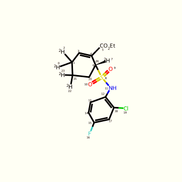 [2H]C1([2H])C=C(C(=O)OCC)[C@]([2H])(S(=O)(=O)Nc2ccc(F)cc2Cl)CC1([2H])[2H]